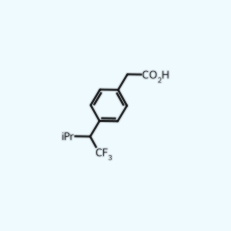 CC(C)C(c1ccc(CC(=O)O)cc1)C(F)(F)F